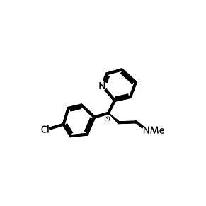 CNCC[C@@H](c1ccc(Cl)cc1)c1ccccn1